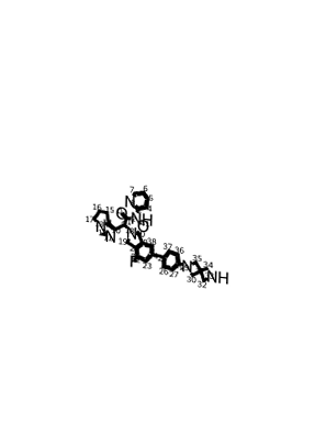 O=C(Nc1ccccn1)C(c1ncn2c1CCC2)N1Cc2c(F)cc(-c3ccc(N4CC5(CNC5)C4)cc3)cc2C1=O